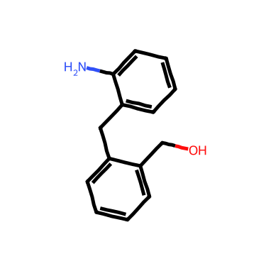 Nc1ccccc1Cc1ccccc1CO